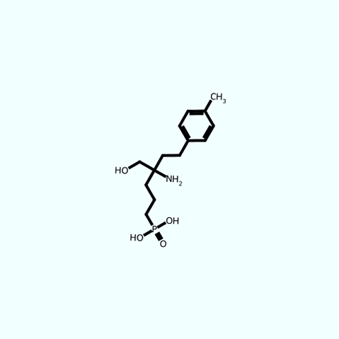 Cc1ccc(CCC(N)(CO)CCCP(=O)(O)O)cc1